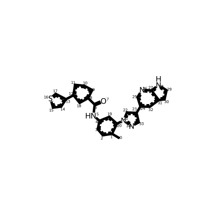 Cc1ccc(NC(=O)c2cccc(-c3ccsc3)c2)cc1-n1cc(-c2cnc3[nH]ccc3c2)cn1